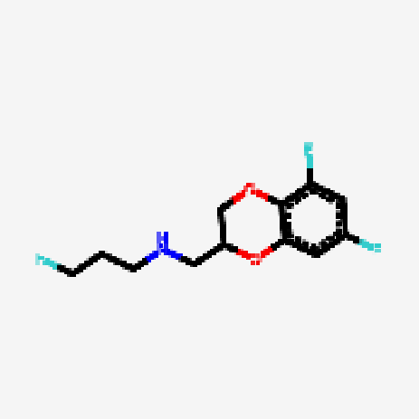 FCCCNCC1COc2c(F)cc(F)cc2O1